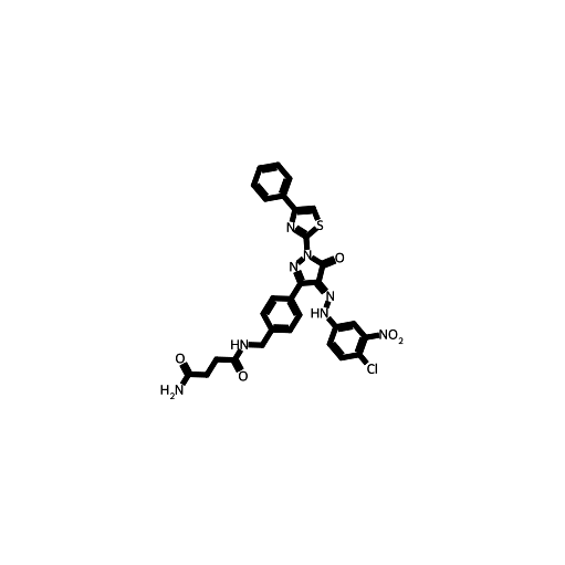 NC(=O)CCC(=O)NCc1ccc(C2=NN(c3nc(-c4ccccc4)cs3)C(=O)/C2=N/Nc2ccc(Cl)c([N+](=O)[O-])c2)cc1